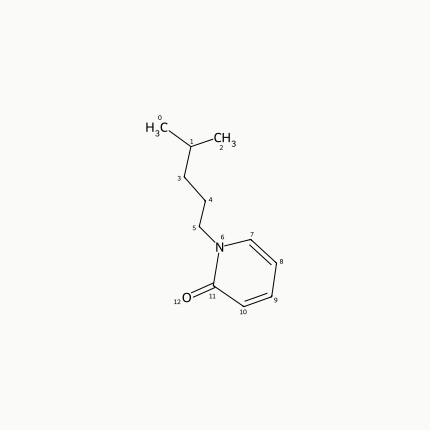 CC(C)CCCn1ccccc1=O